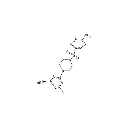 Cc1cc(C#N)nc(N2CCN(S(=O)(=O)c3ccc(N)nn3)CC2)n1